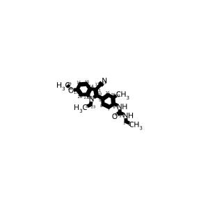 CCNC(=O)Nc1ccc(-c2c(C#N)c3ccc(OC)cc3n2CC)cc1C